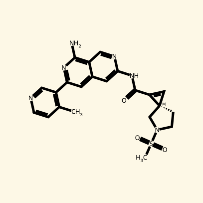 Cc1ccncc1-c1cc2cc(NC(=O)C3=C[C@]34CCN(S(C)(=O)=O)C4)ncc2c(N)n1